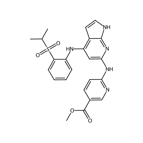 COC(=O)c1ccc(Nc2cc(Nc3ccccc3S(=O)(=O)C(C)C)c3cc[nH]c3n2)nc1